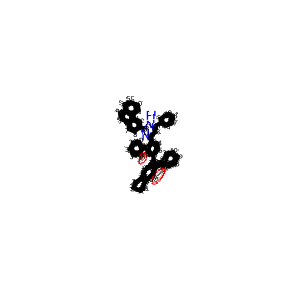 C1=Cc2c(ccc3ccc(C4N=C(c5ccc(-c6cc7ccccc7c7oc8ccccc8c67)c6oc7ccccc7c56)C=C(c5ccccc5)N4)cc23)CC1